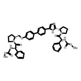 CC(C)(C)OC(=O)N[C@@H](C(=O)N1CCC[C@H]1COc1ccc(-c2ccc(-c3cnc([C@@H]4CCCN4C(=O)[C@H](NC(=O)OC(C)(C)C)c4ccccc4)[nH]3)cc2)cc1)c1ccccc1